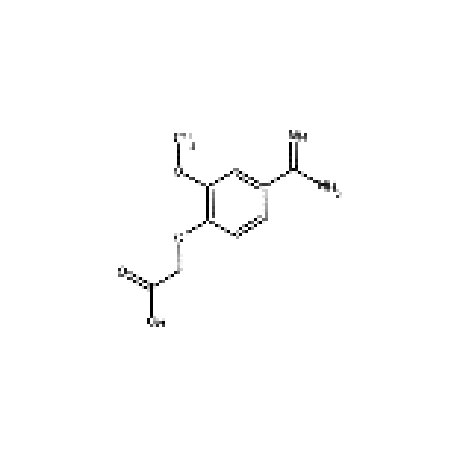 COc1cc(C(=N)N)ccc1OCC(=O)O